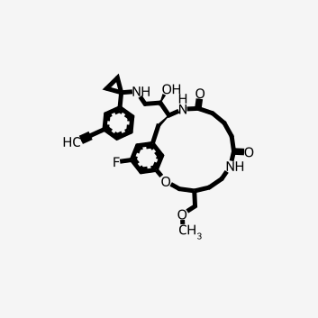 C#Cc1cccc(C2(NC[C@@H](O)[C@@H]3Cc4cc(F)cc(c4)OCC(COC)CCNC(=O)CCCC(=O)N3)CC2)c1